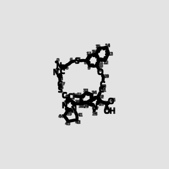 Cn1nc2cc1CSc1cc(c3ccccc3c1)OCCCc1c(C(=O)O)n(C)c3c(c(Cl)ccc13)-c1c(nc3n1CCCC3)CSC2